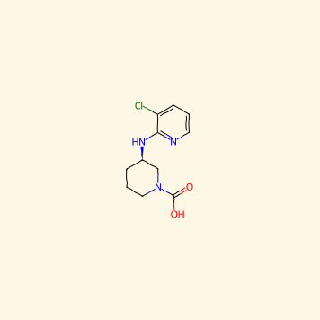 O=C(O)N1CCC[C@@H](Nc2ncccc2Cl)C1